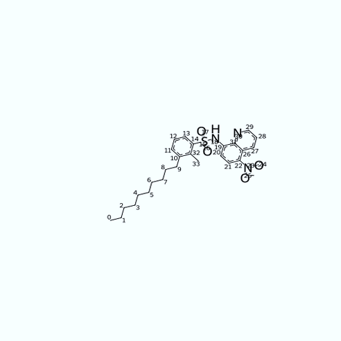 CCCCCCCCCCc1cccc(S(=O)(=O)Nc2ccc([N+](=O)[O-])c3cccnc23)c1C